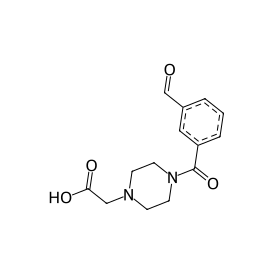 O=Cc1cccc(C(=O)N2CCN(CC(=O)O)CC2)c1